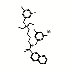 CC[N+](CC)(CCCCN(Cc1cc(C)cc(C)c1)C(=O)c1ccc2ccccc2c1)Cc1cc(C)cc(C)c1.[Br-]